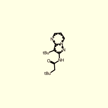 CC(C)(C)CC(=O)Nc1nn2cccnc2c1C(C)(C)C